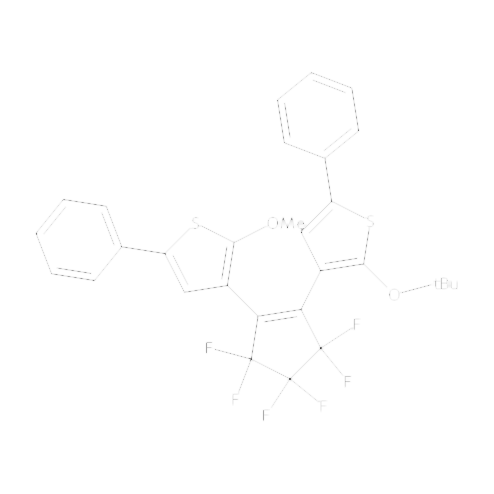 COc1sc(-c2ccccc2)cc1C1=C(c2cc(-c3ccccc3)sc2OC(C)(C)C)C(F)(F)C(F)(F)C1(F)F